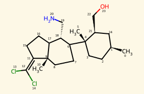 C[C@H]1CC[C@](C)(C2CC[C@]3(C)C(=C(Cl)Cl)CCC3[C@@H]2CN)[C@@H](CO)C1